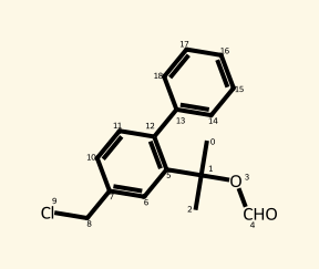 CC(C)(OC=O)c1cc(CCl)ccc1-c1ccccc1